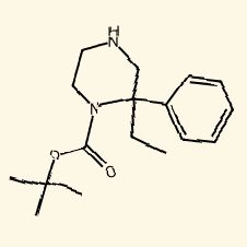 CCC1(c2ccccc2)CNCCN1C(=O)OC(C)(C)C